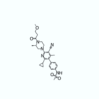 COCCC(=O)N1CCN(c2nc(C3CC3)c(-c3ccc(NS(C)(=O)=O)cc3)c(C)c2C#N)C[C@H]1C